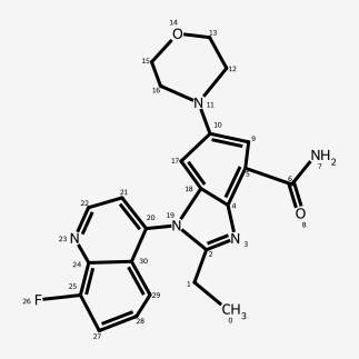 CCc1nc2c(C(N)=O)cc(N3CCOCC3)cc2n1-c1ccnc2c(F)cccc12